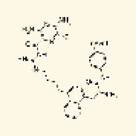 CCCCCc1ccc(NC(=O)[C@@H](C)Cc2ccc(CCCCNC(=N)NC(=O)c3nc(Cl)c(N)nc3N)c3ccccc23)cc1